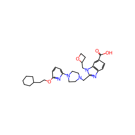 O=C(O)c1ccc2nc(CN3CCN(c4cccc(OCCC5CCCCC5)n4)CC3)n(CC3CCO3)c2c1